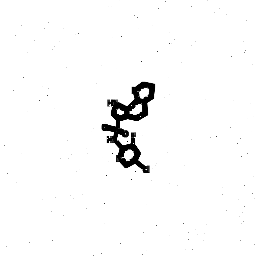 O=S(=O)(Nc1ncc(Cl)cc1F)c1c[nH]c2c1ccc1cccnc12